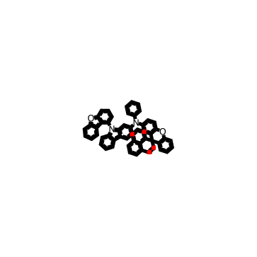 c1ccc(N(c2ccc3c(c2)C2(c4ccccc4O3)c3ccccc3-c3cccc4cccc2c34)c2ccc3c4ccccc4n(-c4cccc5oc6ccccc6c45)c3c2)cc1